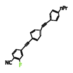 CCCc1ccc(C#Cc2ccc(C#Cc3ccc(C#N)c(F)c3)cc2)cc1